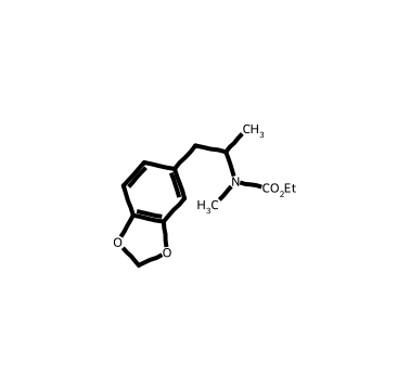 CCOC(=O)N(C)C(C)Cc1ccc2c(c1)OCO2